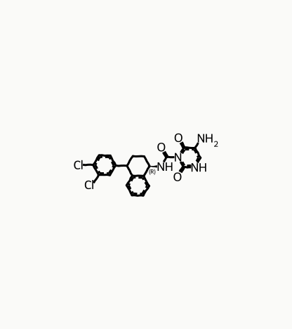 Nc1c[nH]c(=O)n(C(=O)N[C@@H]2CCC(c3ccc(Cl)c(Cl)c3)c3ccccc32)c1=O